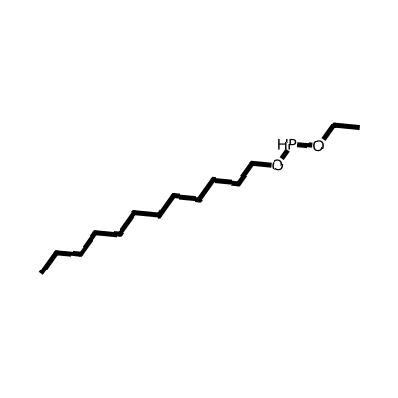 CCCCCCCCCCCCOPOCC